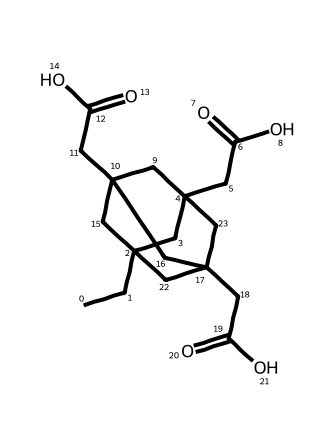 CCC12CC3(CC(=O)O)CC(CC(=O)O)(C1)CC(CC(=O)O)(C2)C3